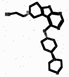 OCC[C@@H]1CCc2sc3ncnc(O[C@H]4CC[C@H](N5CCOCC5)CC4)c3c2C1